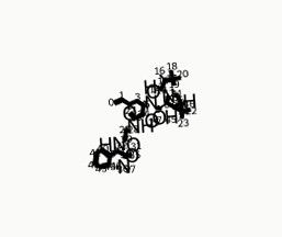 C=CCCC(NC(=O)[C@@H]1[C@@H]2[C@H](CN1C(=O)[C@@H](C)C(C)(C)C)C2(C)C)C(=O)C(=O)NCC(=O)N[C@H](C(=O)N(C)C)c1ccccc1